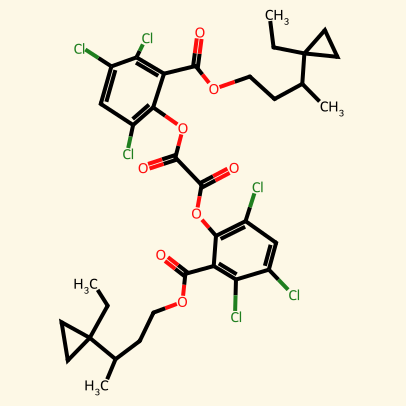 CCC1(C(C)CCOC(=O)c2c(Cl)c(Cl)cc(Cl)c2OC(=O)C(=O)Oc2c(Cl)cc(Cl)c(Cl)c2C(=O)OCCC(C)C2(CC)CC2)CC1